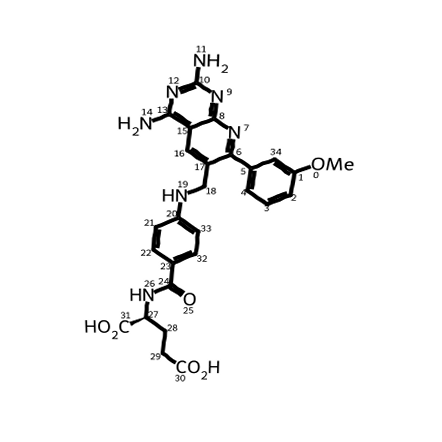 COc1cccc(-c2nc3nc(N)nc(N)c3cc2CNc2ccc(C(=O)N[C@@H](CCC(=O)O)C(=O)O)cc2)c1